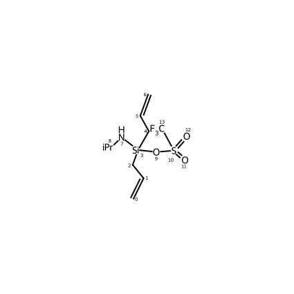 C=CC[Si](CC=C)(NC(C)C)OS(=O)(=O)C(F)(F)F